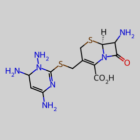 NC1=CC(N)N(N)C(SCC2=C(C(=O)O)N3C(=O)C(N)[C@@H]3SC2)=N1